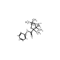 CC(C)(C)CC(C)(C(=O)Oc1ccccc1)C(C)(C)C